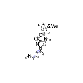 C=N/C=C\C=C(/C)n1cc(N(C)C(=O)CC(CC(C)C)SC)c(Cl)n1